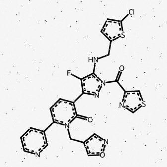 O=C(c1cscn1)n1nc(-c2ccc(-c3cccnc3)n(Cc3cnoc3)c2=O)c(F)c1NCc1ccc(Cl)s1